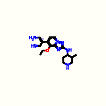 CCOc1c(/C(C=N)=C/N)ccn2nc(NC3CCNCC3C)nc12